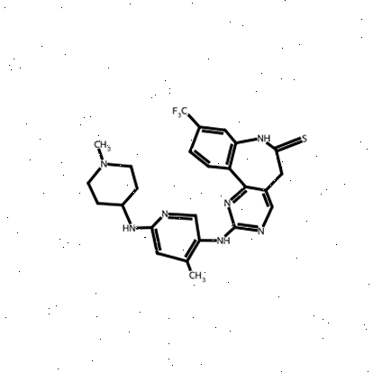 Cc1cc(NC2CCN(C)CC2)ncc1Nc1ncc2c(n1)-c1ccc(C(F)(F)F)cc1NC(=S)C2